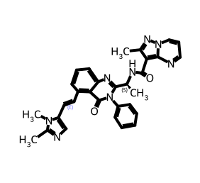 Cc1nn2cccnc2c1C(=O)N[C@@H](C)c1nc2cccc(/C=C/c3cnc(C)n3C)c2c(=O)n1-c1ccccc1